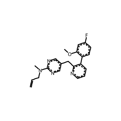 C=CCN(C)c1ncc(Cc2ncccc2-c2ccc(F)cc2OC)cn1